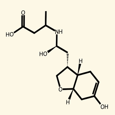 CC(CC(=O)O)N[C@H](O)C[C@H]1CO[C@H]2CC(O)=CC[C@@H]12